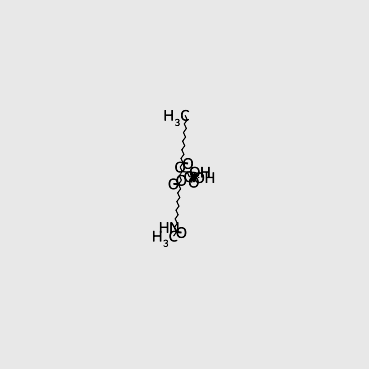 CCCCCCCCCCCC(=O)O[C@H](COC(=O)CCCCCCCCCNC(C)=O)COP(=O)(O)O